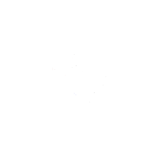 Cn1ccc2cccc(C(=O)OBr)c21